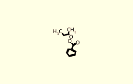 CCC(C)OOC(=O)c1ccccc1